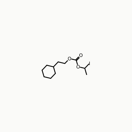 CC(I)OC(=O)OCCC1CCCCC1